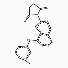 Cc1cccc(Nc2ncnc3ccc(N4C(=O)CCC4=O)cc23)c1